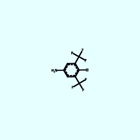 Nc1cc(C(F)(F)F)c(Cl)c(C(F)(F)F)c1